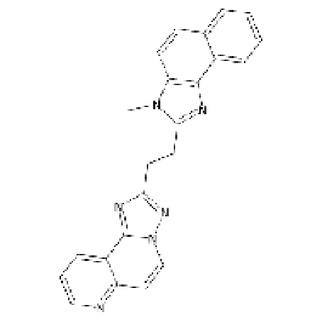 Cn1c(CCc2nc3c4cccnc4ccn3n2)nc2c3ccccc3ccc21